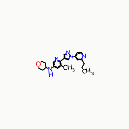 CCCc1cc(-n2cc(-c3ncc(NC4CCOCC4)cc3C)cn2)ccn1